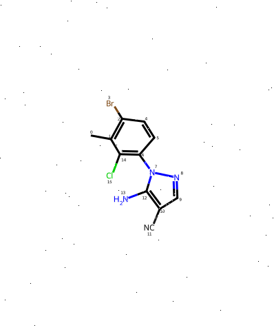 Cc1c(Br)ccc(-n2ncc(C#N)c2N)c1Cl